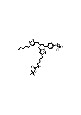 CCCCCn1cc(CN(CCc2ccc(N[SH](=O)=O)cc2)Cc2cn(CCCCNC(=O)OC(C)(C)C)nn2)nn1